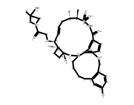 C[C@@H]1[C@@H](C)C/C=C/[C@H](OCC(=O)N2CC(C)(O)C2)[C@@H]2CC[C@H]2CN2CCCCc3cc(Cl)ccc3COc3ccc(cc32)C(=O)NS1(=O)=O